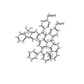 CCCCCc1ccc(N2B3c4cc(CCCCC)ccc4-n4c5ccc6ccccc6c5c5c(C(c6ccccc6)c6ccccc6)cc(c3c54)-c3cc4c(cc32)C(C)(C)c2ccccc2-4)cc1